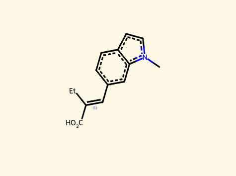 CC/C(=C\c1ccc2ccn(C)c2c1)C(=O)O